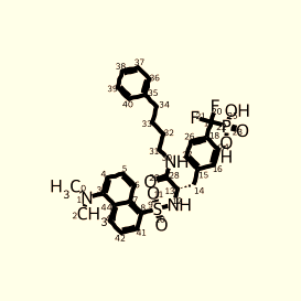 CN(C)c1cccc2c(S(=O)(=O)N[C@@H](Cc3ccc(C(F)(F)P(=O)(O)O)cc3)C(=O)NCCCCc3ccccc3)cccc12